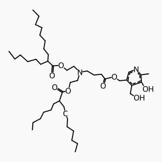 CCCCCCCCC(CCCCCC)C(=O)OCCN(CCCC(=O)OCc1cnc(C)c(O)c1CO)CCOC(=O)C(CCCCCC)CCCCCCCC